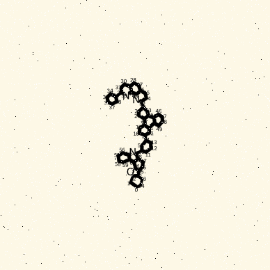 C1=Cc2oc3c(ccc4c(-c5cccc(-c6ccc7c8ccc(-c9ccc%10ccc%11ccc(-c%12ccccc%12)nc%11c%10n9)cc8c8ccccc8c7c6)c5)nc5ccccc5c43)c2CC1